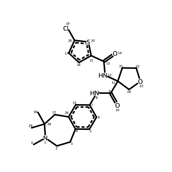 CN1CCc2ccc(NC(=O)C3(NC(=O)c4ccc(Cl)s4)CCOC3)cc2CC1(C)C